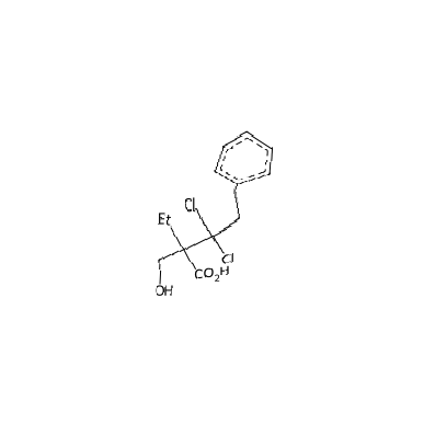 CCC(CO)(C(=O)O)C(Cl)(Cl)Cc1ccccc1